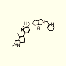 Cc1c(-c2ccc(N[C@@H]3CC4CN(Cc5ccccn5)C[C@H]4C3)nn2)ccc2nn(C)cc12